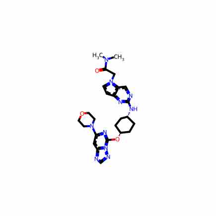 CN(C)C(=O)Cn1ccc2nc(N[C@H]3CC[C@@H](Oc4nc(N5CCOCC5)cc5ncnn45)CC3)ncc21